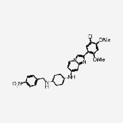 COc1cc(OC)c(-c2cn3ccc(N[C@H]4CC[C@@H](NCc5ccc([N+](=O)[O-])cc5)CC4)cc3n2)cc1Cl